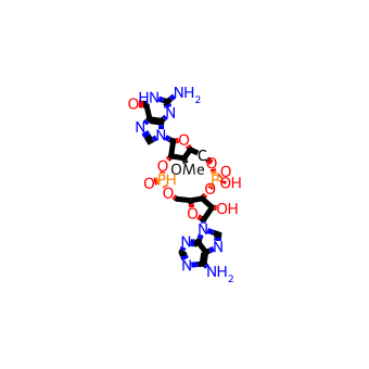 COC1C2CO[P@@](=O)(O)OC3C(CO[PH](=O)OC1C(n1cnc4c(=O)[nH]c(N)nc41)O2)OC(n1cnc2c(N)ncnc21)C3O